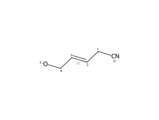 N#CC/C=C/C[O]